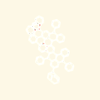 c1ccc(-c2cccc(-c3ccccc3)c2-c2c(-n3c4ccccc4c4ccccc43)cc3c4c2Nc2cc5c(cc2B4c2ccccc2N3c2ccccc2)B2c3ccccc3N(c3ccccc3)c3cc(N4C6CC7CC(C6)CC4C7)cc(c32)N5c2ccccc2)cc1